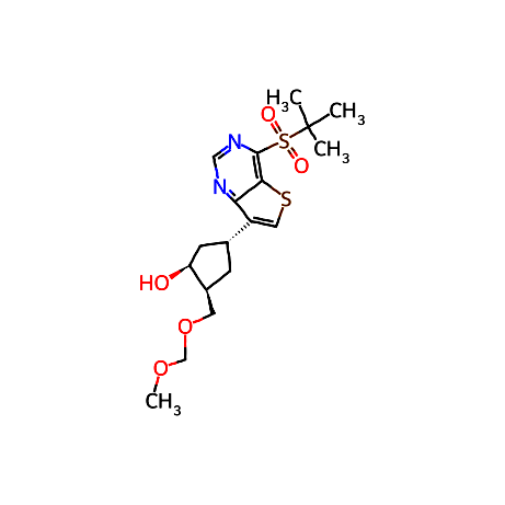 COCOC[C@@H]1C[C@@H](c2csc3c(S(=O)(=O)C(C)(C)C)ncnc23)C[C@@H]1O